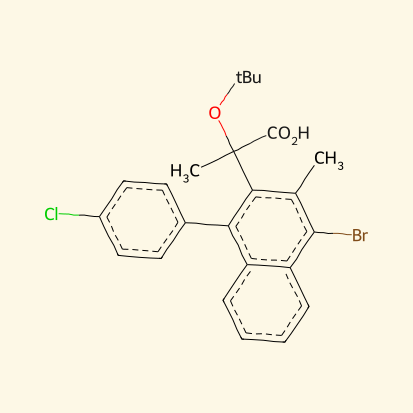 Cc1c(C(C)(OC(C)(C)C)C(=O)O)c(-c2ccc(Cl)cc2)c2ccccc2c1Br